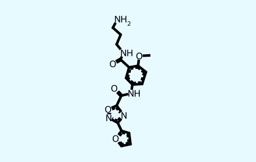 COc1ccc(NC(=O)c2nc(-c3ccco3)no2)cc1C(=O)NCCCN